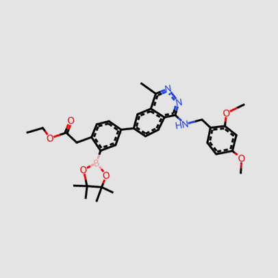 CCOC(=O)Cc1ccc(-c2ccc3c(NCc4ccc(OC)cc4OC)nnc(C)c3c2)cc1B1OC(C)(C)C(C)(C)O1